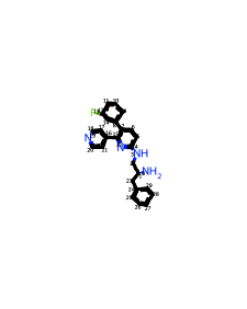 N[C@@H](CNc1ccc(-c2cccc(F)c2)c(-c2ccncc2)n1)Cc1ccccc1